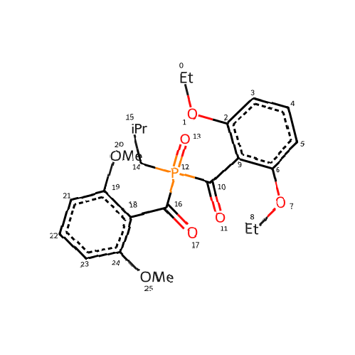 CCOc1cccc(OCC)c1C(=O)P(=O)(CC(C)C)C(=O)c1c(OC)cccc1OC